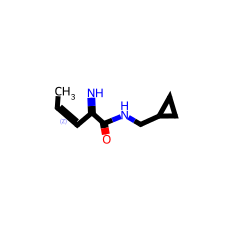 C/C=C\C(=N)C(=O)NCC1CC1